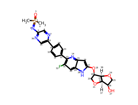 CS(C)(=O)=Nc1cnc(-c2ccc(-c3nc4cc(O[C@@H]5CO[C@H]6[C@@H]5OC[C@H]6O)[nH]c4cc3F)cc2)cn1